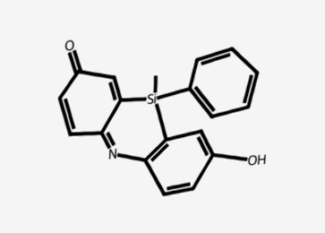 C[Si]1(c2ccccc2)C2=CC(=O)C=CC2=Nc2ccc(O)cc21